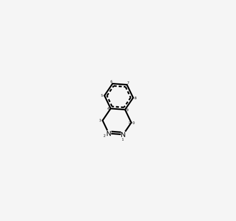 [C]1N=NCc2ccccc21